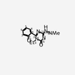 CCn1c(-c2ccccc2Cl)nc(NNC)nc1=O